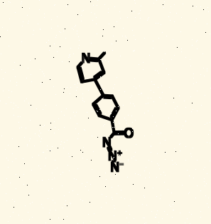 Cc1cc(-c2ccc(C(=O)N=[N+]=[N-])cc2)ccn1